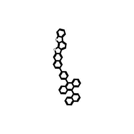 c1ccc2c(-c3c4ccccc4c(-c4ccc(-c5ccc6cc7oc8c(ccc9c%10ccccc%10sc98)c7cc6c5)cc4)c4ccccc34)cccc2c1